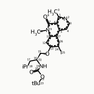 Cc1nccc2c1c(=O)n(C)c1cc(OC[C@H](CC(C)C)NC(=O)OC(C)(C)C)c(I)cc21